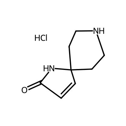 Cl.O=C1C=CC2(CCNCC2)N1